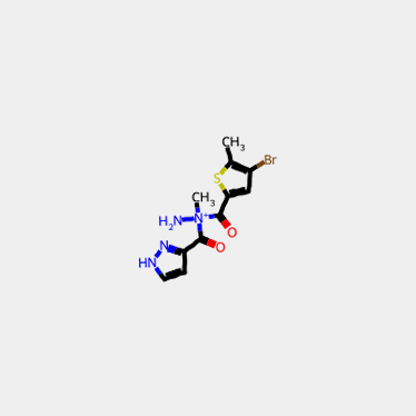 Cc1sc(C(=O)[N+](C)(N)C(=O)c2cc[nH]n2)cc1Br